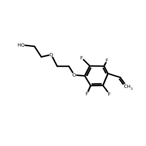 C=Cc1c(F)c(F)c(OCCOCCO)c(F)c1F